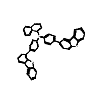 c1ccc2c(N(c3ccc(-c4ccc5oc6ccccc6c5c4)cc3)c3ccc(-c4cccc5c4oc4ccccc45)cc3)cccc2c1